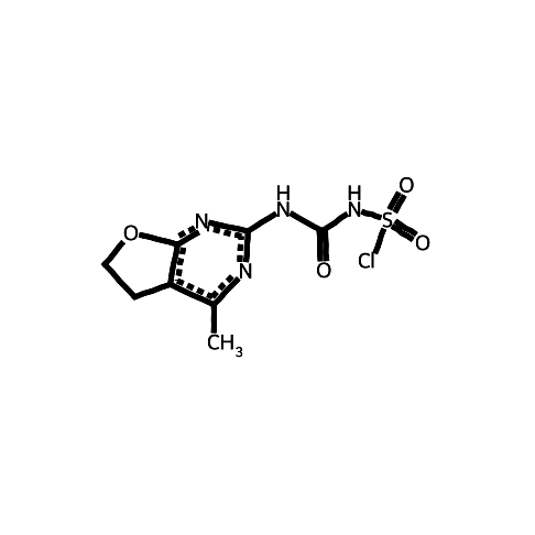 Cc1nc(NC(=O)NS(=O)(=O)Cl)nc2c1CCO2